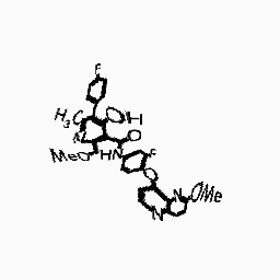 COCc1nc(C)c(-c2ccc(F)cc2)c(O)c1C(=O)Nc1ccc(Oc2ccnc3ccc(OC)nc23)c(F)c1